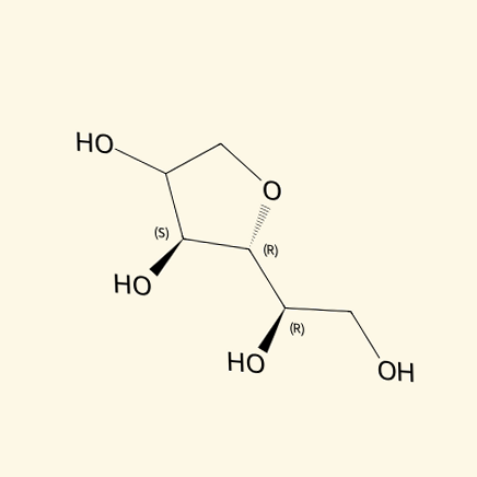 OC[C@@H](O)[C@H]1OCC(O)[C@@H]1O